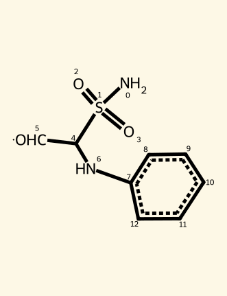 NS(=O)(=O)C([C]=O)Nc1ccccc1